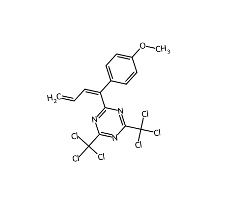 C=CC=C(c1ccc(OC)cc1)c1nc(C(Cl)(Cl)Cl)nc(C(Cl)(Cl)Cl)n1